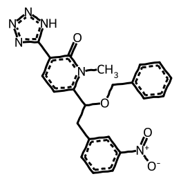 Cn1c(C(Cc2cccc([N+](=O)[O-])c2)OCc2ccccc2)ccc(-c2nnn[nH]2)c1=O